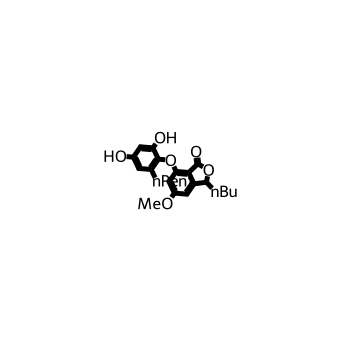 CCCCCc1cc(O)cc(O)c1Oc1cc(OC)cc2c1C(=O)OC2CCCC